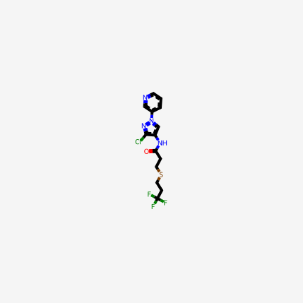 O=C(CCSCCC(F)(F)F)Nc1cn(-c2cccnc2)nc1Cl